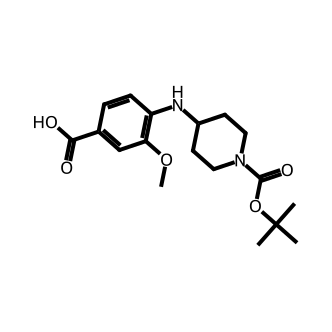 COc1cc(C(=O)O)ccc1NC1CCN(C(=O)OC(C)(C)C)CC1